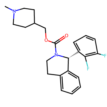 CN1CCC(COC(=O)N2CCc3ccccc3[C@H]2c2cccc(F)c2F)CC1